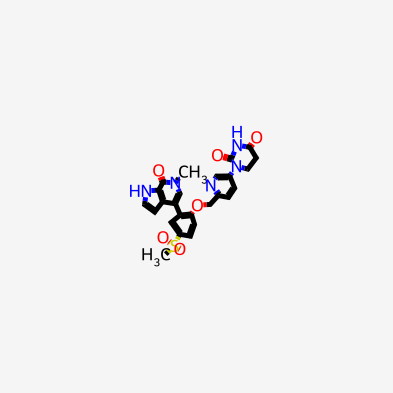 Cn1cc(-c2cc(S(C)(=O)=O)ccc2OCc2ccc(N3CCC(=O)NC3=O)cn2)c2cc[nH]c2c1=O